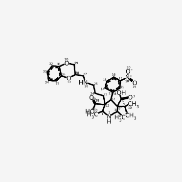 CC1NC(C)C(C(=O)O)(C(C)C)C(c2cccc([N+](=O)[O-])c2)C1(CCCNCC1COc2ccccc2O1)C(=O)O